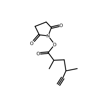 C#CC(C)CC(C)C(=O)ON1C(=O)CCC1=O